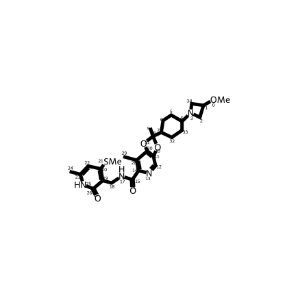 COC1CN(C2CCC(C3(C)Oc4cnc(C(=O)NCc5c(SC)cc(C)[nH]c5=O)c(C)c4O3)CC2)C1